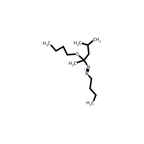 CCCC/N=N/C(C)(CC(C)C)OCCCC